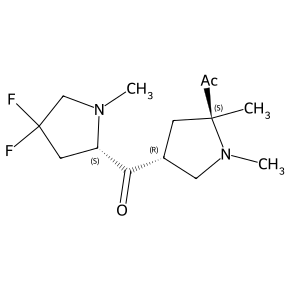 CC(=O)[C@]1(C)C[C@@H](C(=O)[C@@H]2CC(F)(F)CN2C)CN1C